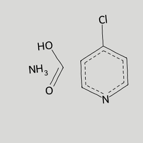 Clc1ccncc1.N.O=CO